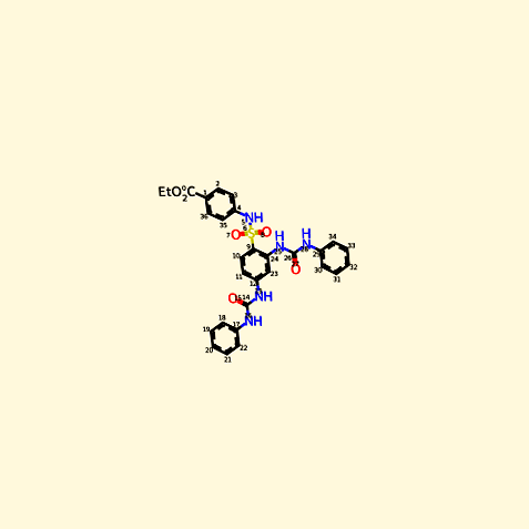 CCOC(=O)c1ccc(NS(=O)(=O)c2ccc(NC(=O)Nc3ccccc3)cc2NC(=O)Nc2ccccc2)cc1